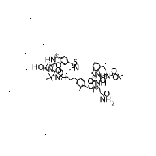 Cc1cc(CCCCC(=O)NC(C(=O)N2C[C@H](O)C[C@H]2C(=O)N[C@@H](C)c2ccc(-c3scnc3C)cc2)C(C)(C)C)ccc1CO[C@H](C)[C@H](CCC(N)=O)NC(=O)[C@@H]1Cc2cccc3c2N1C(=O)[C@@H](NC(=O)OC(C)(C)C)CC3